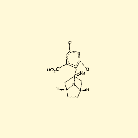 N=CN1[C@@H]2CC[C@H]1C[C@@H](c1c(Cl)cc(Cl)cc1C(=O)O)C2